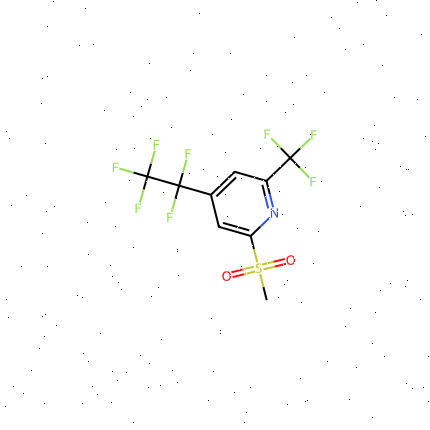 CS(=O)(=O)c1cc(C(F)(F)C(F)(F)F)cc(C(F)(F)F)n1